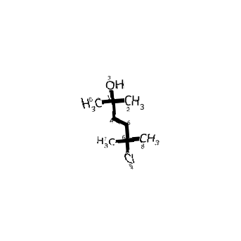 CC(C)(O)CCC(C)(C)Cl